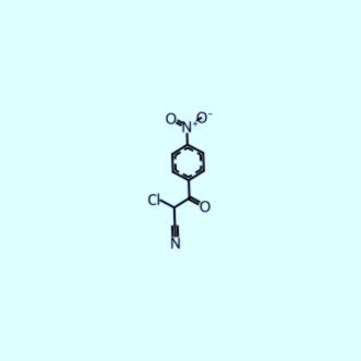 N#CC(Cl)C(=O)c1ccc([N+](=O)[O-])cc1